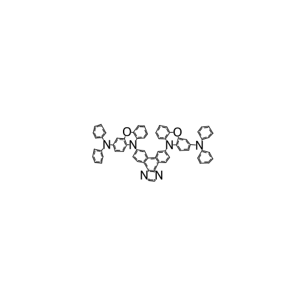 c1ccc(N(c2ccccc2)c2ccc3c(c2)Oc2ccccc2N3c2ccc3c(c2)c2cc(N4c5ccccc5Oc5cc(N(c6ccccc6)c6ccccc6)ccc54)ccc2c2nccnc32)cc1